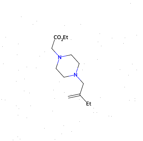 C=C(CC)CN1CCN(CC(=O)OCC)CC1